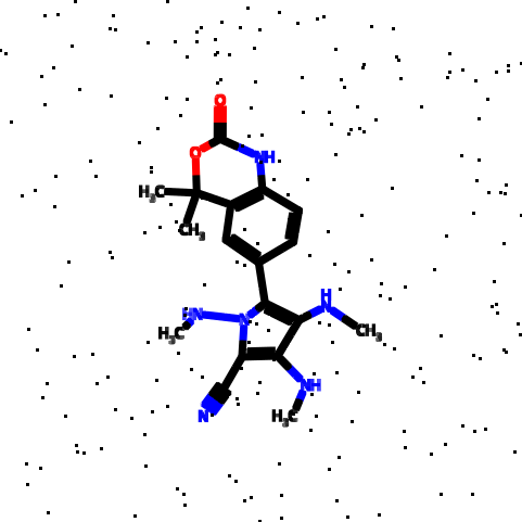 CNc1c(NC)c(-c2ccc3c(c2)C(C)(C)OC(=O)N3)n(NC)c1C#N